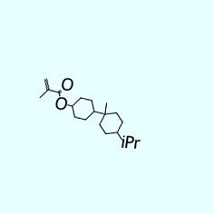 C=C(C)C(=O)OC1CCC(C2(C)CCC(C(C)C)CC2)CC1